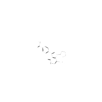 CC(=O)Oc1c[nH]c(=O)c2c(-c3ccc(C(N)=O)cc3)cn(C3CCCC3)c12